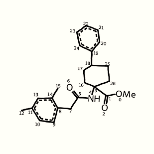 COC(=O)C1(NC(=O)Cc2ccc(C)cc2C)CCC(c2ccccc2)CC1